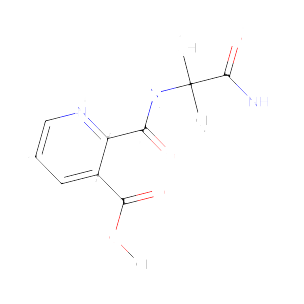 COC(=O)c1cccnc1C(=O)NC(C)(C)C(N)=O